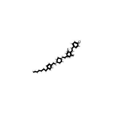 CCCCCCCc1ccc(CC[C@H]2CC[C@H](CCc3cc(F)c(CCc4ccc(Cl)cc4)c(F)c3)CC2)cc1